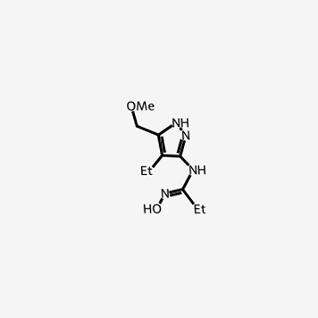 CCC(=NO)Nc1n[nH]c(COC)c1CC